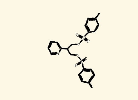 Cc1ccc(S(=O)(=O)OCC(COS(=O)(=O)c2ccc(C)cc2)c2ccccn2)cc1